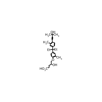 CCC(CC)(c1ccc(C#CC(C)(C)O)c(C)c1)c1ccc(OC[C@@H](O)CCC(=O)O)c(C)c1